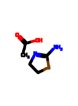 CC(=O)O.NC1=NCCS1